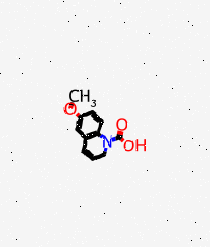 COc1ccc2c(c1)C=CCN2C(=O)O